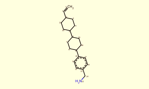 C=CC1CCC(C2CCC(c3ccc(CN)cc3)CC2)CC1